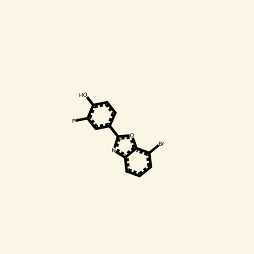 Oc1ccc(-c2nc3cccc(Br)c3o2)cc1F